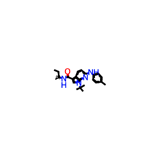 CC[C@H](C)NC(=O)c1cn(C(C)(C)C)c2nc(Nc3ccc(C)cc3)ccc12